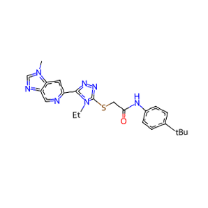 CCn1c(SCC(=O)Nc2ccc(C(C)(C)C)cc2)nnc1-c1cc2c(cn1)ncn2C